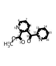 COC(=O)c1ncccc1C(=O)c1ccccn1